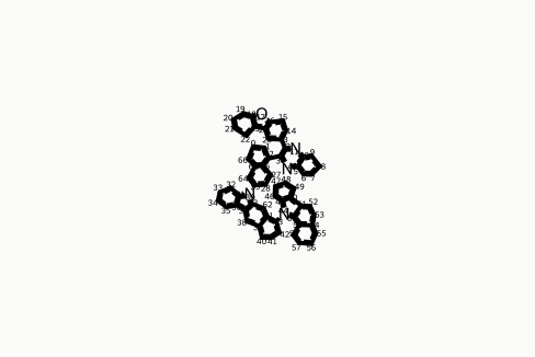 c1cc(-c2nc3ccccc3nc2-c2ccc3oc4ccccc4c3c2)c2ccc(-n3c4ccccc4c4cc5cccc(-n6c7ccccc7c7ccc8ccccc8c76)c5cc43)cc2c1